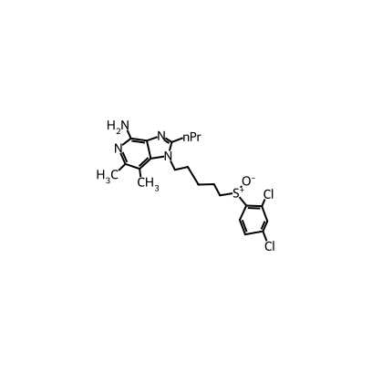 CCCc1nc2c(N)nc(C)c(C)c2n1CCCCC[S+]([O-])c1ccc(Cl)cc1Cl